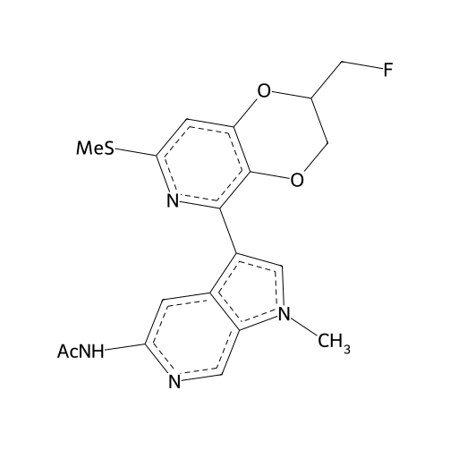 CSc1cc2c(c(-c3cn(C)c4cnc(NC(C)=O)cc34)n1)OCC(CF)O2